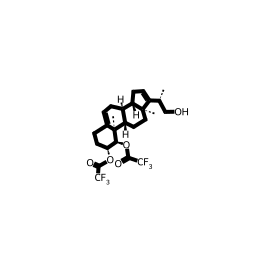 C[C@H](CO)C1=CC[C@H]2[C@@H]3CC=C4CC[C@@H](OC(=O)C(F)(F)F)[C@H](OC(=O)C(F)(F)F)[C@]4(C)[C@H]3CC[C@]12C